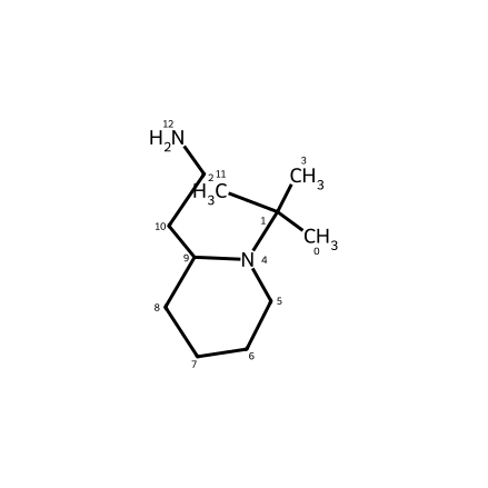 CC(C)(C)N1CCCCC1CCN